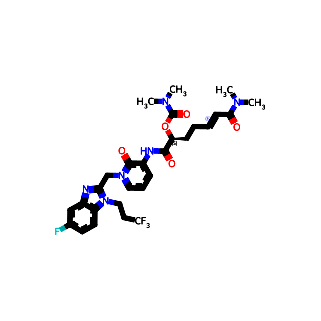 CN(C)C(=O)/C=C/CC[C@H](OC(=O)N(C)C)C(=O)Nc1cccn(Cc2nc3cc(F)ccc3n2CCC(F)(F)F)c1=O